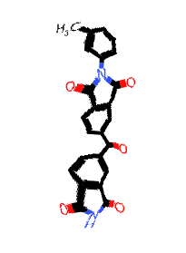 Cc1cccc(N2C(=O)c3ccc(C(=O)c4ccc5c(c4)C(=O)NC5=O)cc3C2=O)c1